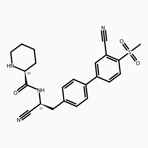 CS(=O)(=O)c1ccc(-c2ccc(C[C@@H](C#N)NC(=O)[C@@H]3CCCCN3)cc2)cc1C#N